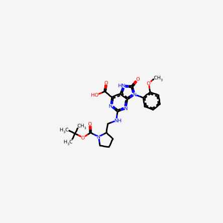 COc1ccccc1-n1c(=O)[nH]c2c(C(=O)O)nc(NCC3CCCN3C(=O)OC(C)(C)C)nc21